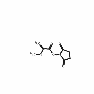 C=C(OC)C(=O)ON1C(=O)CCC1=O